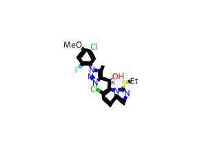 CCSc1ncc2ccc(Cl)c([C@@H](O)c3nnn(-c4cc(Cl)c(OC)cc4F)c3C)n12